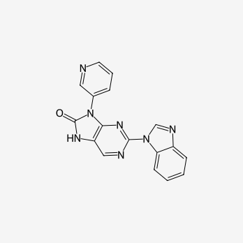 O=c1[nH]c2cnc(-n3cnc4ccccc43)nc2n1-c1cccnc1